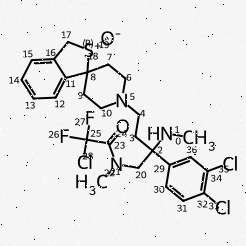 CNC(CCN1CCC2(CC1)c1ccccc1C[S@+]2[O-])(CN(C)C(=O)C(F)(F)Cl)c1ccc(Cl)c(Cl)c1